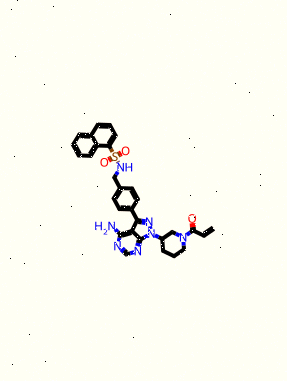 C=CC(=O)N1CCCC(n2nc(-c3ccc(CNS(=O)(=O)c4cccc5ccccc45)cc3)c3c(N)ncnc32)C1